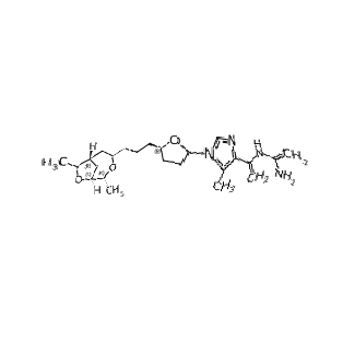 C=C(N)NC(=C)c1ncn(C2CC[C@@H](CCCC3C[C@@H]4C[C@H](OC4C)[C@@H](C)O3)O2)c1C